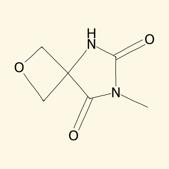 CN1C(=O)NC2(COC2)C1=O